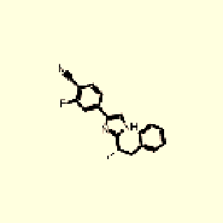 C[C@@H](Cc1ccccc1)c1nc(-c2ccc(C#N)c(F)c2)c[nH]1